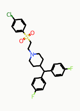 O=S(=O)(CCN1CCC(C(c2ccc(F)cc2)c2ccc(F)cc2)CC1)c1ccc(Cl)cc1